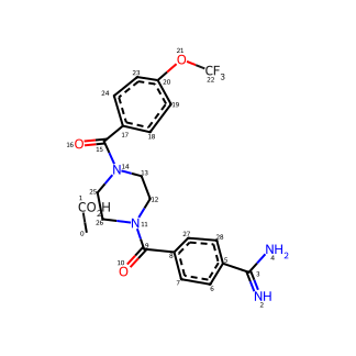 CC(=O)O.N=C(N)c1ccc(C(=O)N2CCN(C(=O)c3ccc(OC(F)(F)F)cc3)CC2)cc1